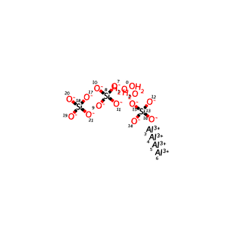 O.O.O.[Al+3].[Al+3].[Al+3].[Al+3].[O-][Si]([O-])([O-])[O-].[O-][Si]([O-])([O-])[O-].[O-][Si]([O-])([O-])[O-]